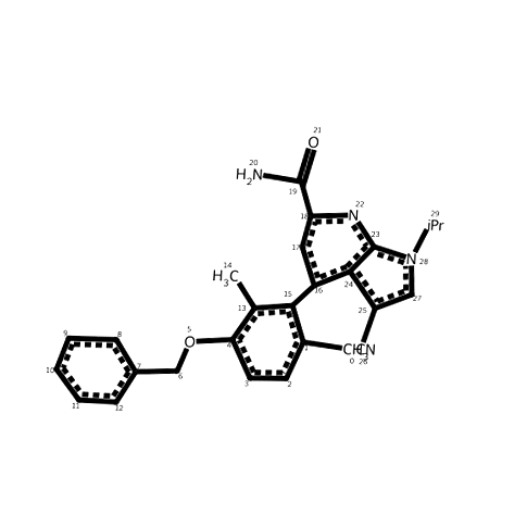 Cc1ccc(OCc2ccccc2)c(C)c1-c1cc(C(N)=O)nc2c1c(C#N)cn2C(C)C